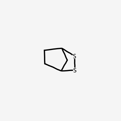 C1CC2CC1SS2